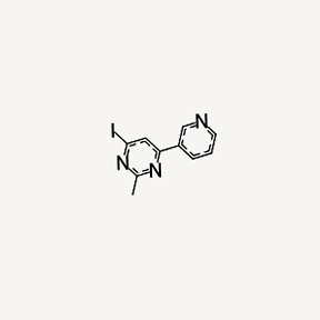 Cc1nc(I)cc(-c2cccnc2)n1